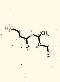 CCCC([O])OC(C)OCC